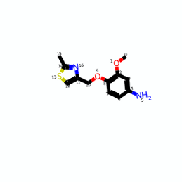 COc1cc(N)ccc1OCc1csc(C)n1